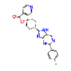 O=C1O[C@]2(CC[C@H](c3nc4nc(-c5ccc(F)cc5)ncc4[nH]3)CC2)c2cnccc21